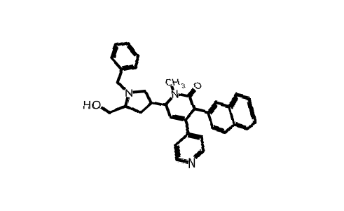 CN1C(=O)C(c2ccc3ccccc3c2)C(c2ccncc2)=CC1C1CC(CO)N(Cc2ccccc2)C1